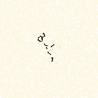 CC(C)C(=O)NCCNCC(COc1cccc2[nH]ccc12)OC(=O)C(=O)O